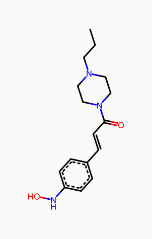 CCCN1CCN(C(=O)/C=C/c2ccc(NO)cc2)CC1